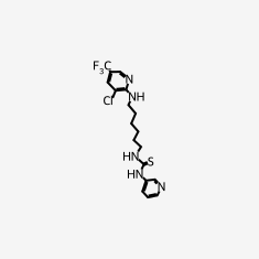 FC(F)(F)c1cnc(NCCCCCCNC(=S)Nc2cccnc2)c(Cl)c1